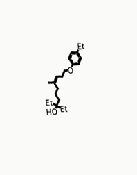 CCc1ccc(OCCC=C(C)CCCC(O)(CC)CC)cc1